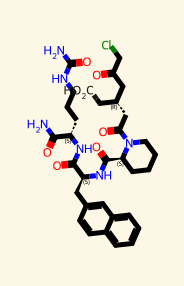 NC(=O)NCCC[C@H](NC(=O)[C@H](Cc1ccc2ccccc2c1)NC(=O)[C@@H]1CCCCN1C(=O)C[C@H](CC(=O)O)CC(=O)CCl)C(N)=O